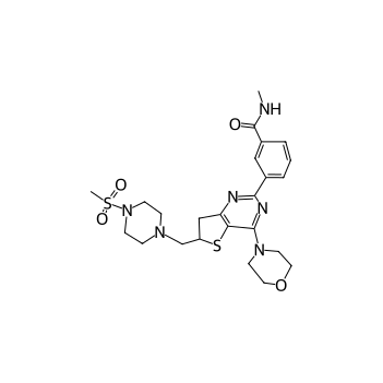 CNC(=O)c1cccc(-c2nc3c(c(N4CCOCC4)n2)SC(CN2CCN(S(C)(=O)=O)CC2)C3)c1